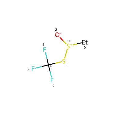 CC[S+]([O-])SC(F)(F)F